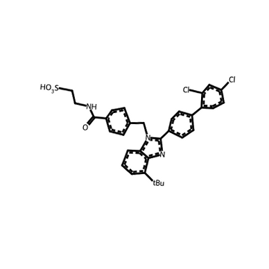 CC(C)(C)c1cccc2c1nc(-c1ccc(-c3ccc(Cl)cc3Cl)cc1)n2Cc1ccc(C(=O)NCCS(=O)(=O)O)cc1